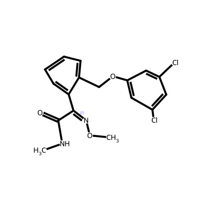 CNC(=O)/C(=N\OC)c1ccccc1COc1cc(Cl)cc(Cl)c1